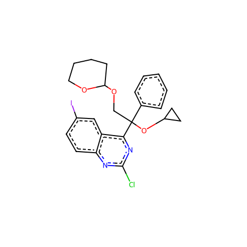 Clc1nc(C(COC2CCCCO2)(OC2CC2)c2ccccc2)c2cc(I)ccc2n1